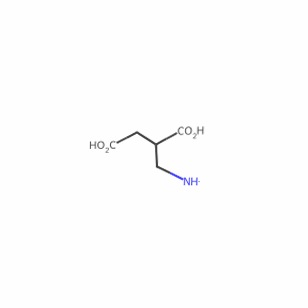 [NH]CC(CC(=O)O)C(=O)O